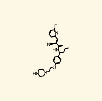 C=C(NC(CCC)c1ccc(OCCN2CCNCC2)cc1)/C(C#N)=C/c1cccc(F)n1